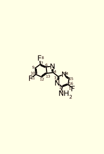 Nc1nc(C2=Nc3c(F)cc(F)cc32)ncc1F